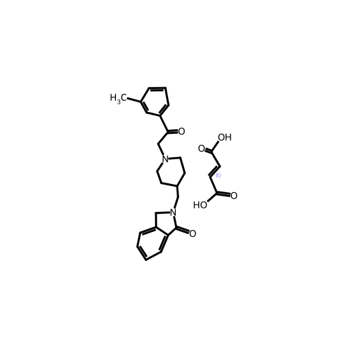 Cc1cccc(C(=O)CN2CCC(CN3Cc4ccccc4C3=O)CC2)c1.O=C(O)/C=C/C(=O)O